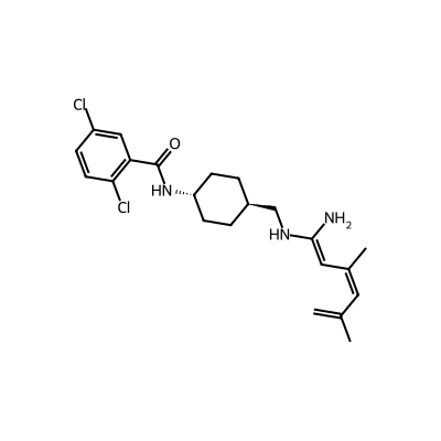 C=C(C)/C=C(C)\C=C(/N)NC[C@H]1CC[C@H](NC(=O)c2cc(Cl)ccc2Cl)CC1